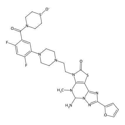 CN1c2c(sc(=O)n2CCN2CCN(c3cc(C(=O)N4CC[S+]([O-])CC4)c(F)cc3F)CC2)-c2nc(-c3ccco3)nn2C1N